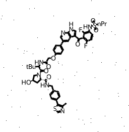 CCCS(=O)(=O)Nc1ccc(F)c(C(=O)c2c[nH]c3ncc(-c4ccc(OCC(=O)NC(C(=O)N5C[C@H](O)C[C@H]5C(=O)NCc5ccc(-c6scnc6C)cc5)C(C)(C)C)cc4)cc23)c1F